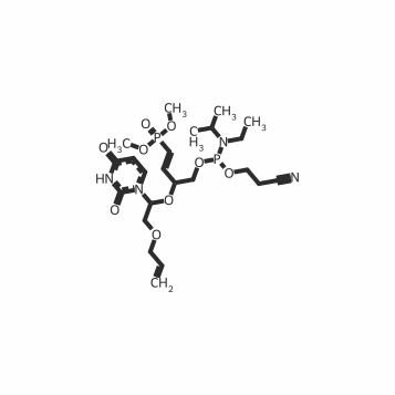 C=CCOCC(OC(/C=C/P(=O)(OC)OC)COP(OCCC#N)N(CC)C(C)C)n1ccc(=O)[nH]c1=O